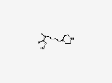 CN(CCCCN1CCNCC1)C(=O)OC(C)(C)C